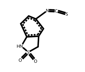 O=S1(=O)Cc2cc(N=C=S)ccc2N1